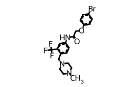 CN1CCN(Cc2ccc(NC(=O)COc3ccc(Br)cc3)cc2C(F)(F)F)CC1